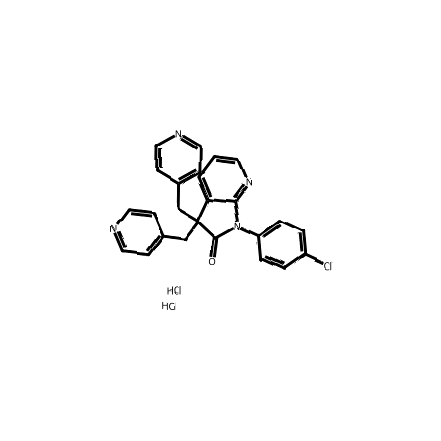 Cl.Cl.O=C1N(c2ccc(Cl)cc2)c2ncccc2C1(Cc1ccncc1)Cc1ccncc1